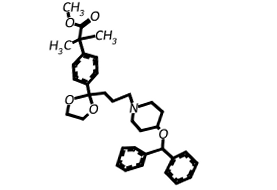 COC(=O)C(C)(C)c1ccc(C2(CCCN3CCC(OC(c4ccccc4)c4ccccc4)CC3)OCCO2)cc1